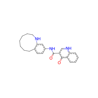 O=C(Nc1ccc2c(c1)NCCCCCCC2)c1c[nH]c2ccccc2c1=O